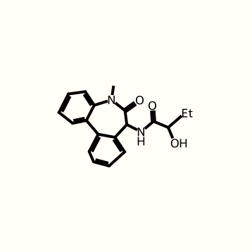 CCC(O)C(=O)NC1C(=O)N(C)c2ccccc2-c2ccccc21